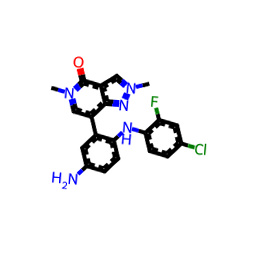 Cn1cc2c(=O)n(C)cc(-c3cc(N)ccc3Nc3ccc(Cl)cc3F)c2n1